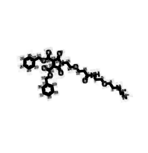 [N-]=[N+]=NCCOCCNC(=O)CCOCCN1C(=O)C(C(=O)OCc2ccccc2)=C(C(=O)OCc2ccccc2)C1=O